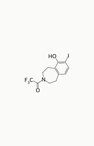 O=C(N1CCc2ccc(I)c(O)c2CC1)C(F)(F)F